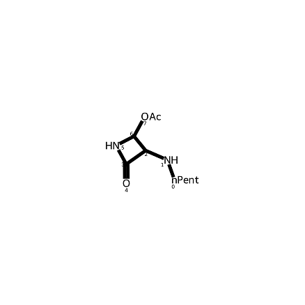 CCCCCNC1C(=O)NC1OC(C)=O